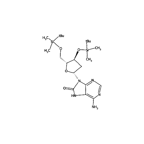 CC(C)(C)[Si](C)(C)OC[C@H]1O[C@@H](n2c(=O)[nH]c3c(N)ncnc32)C[C@@H]1O[Si](C)(C)C(C)(C)C